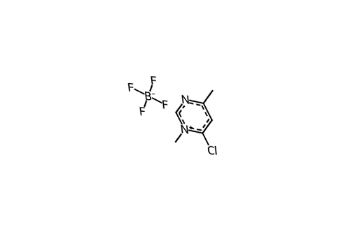 Cc1cc(Cl)[n+](C)cn1.F[B-](F)(F)F